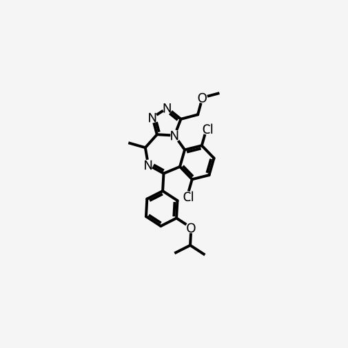 COCc1nnc2n1-c1c(Cl)ccc(Cl)c1C(c1cccc(OC(C)C)c1)=NC2C